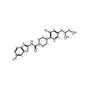 O=C(Nc1nc2ccc(Cl)cc2s1)N1CCN(c2ncc(C[C@H](O)CO)cc2F)CC1